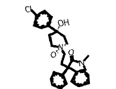 CN(C)C(=O)C(CC[N@+]1([O-])CC[C@](O)(c2ccc(Cl)cc2)CC1)(c1ccccc1)c1ccccc1